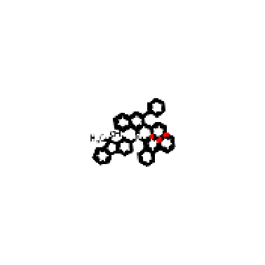 CC1(C)c2ccccc2-c2ccc(N(c3c(-c4ccccc4)c(-c4ccccc4)cc4ccccc34)c3cc4ccccc4c4ccccc34)cc21